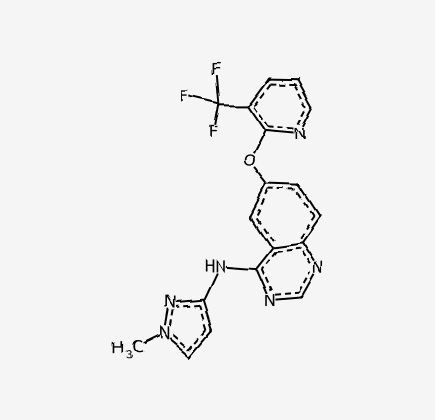 Cn1ccc(Nc2ncnc3ccc(Oc4ncccc4C(F)(F)F)cc23)n1